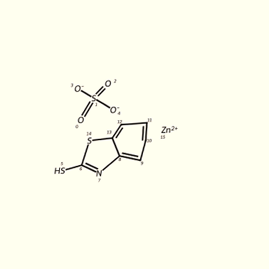 O=S(=O)([O-])[O-].Sc1nc2ccccc2s1.[Zn+2]